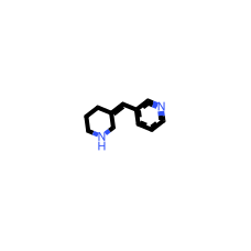 C(=C1CCCNC1)c1cccnc1